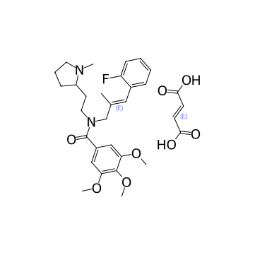 COc1cc(C(=O)N(CCC2CCCN2C)C/C(C)=C/c2ccccc2F)cc(OC)c1OC.O=C(O)/C=C/C(=O)O